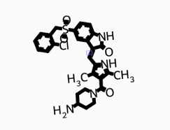 Cc1[nH]c(/C=C2\C(=O)Nc3ccc(S(=O)(=O)Cc4ccccc4Cl)cc32)c(C)c1C(=O)N1CCC(N)CC1